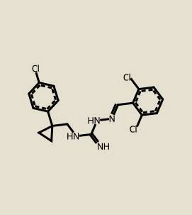 N=C(NCC1(c2ccc(Cl)cc2)CC1)NN=Cc1c(Cl)cccc1Cl